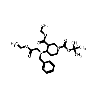 CCOC(=O)CN(Cc1ccccc1)C1CCN(C(=O)OC(C)(C)C)CC1C(=O)OCC